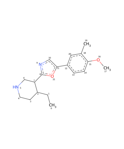 CCC1CCNCC1c1ncc(-c2ccc(OC)c(C)c2)o1